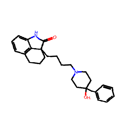 O=C1Nc2cccc3c2C1(CCCCN1CCC(O)(c2ccccc2)CC1)CCC3